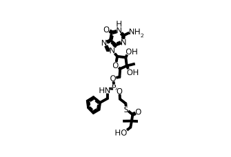 CC(C)(CO)C(=O)SCCOP(NCc1ccccc1)OCC1OC(n2cnc3c(=O)[nH]c(N)nc32)C(O)C1(C)O